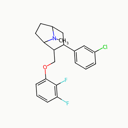 CN1C2CCC1C(COc1cccc(F)c1F)C(c1cccc(Cl)c1)C2